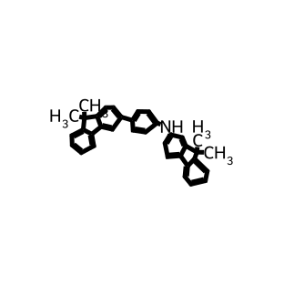 CC1(C)c2ccccc2-c2cc(-c3ccc(Nc4ccc5c(c4)C(C)(C)c4ccccc4-5)cc3)ccc21